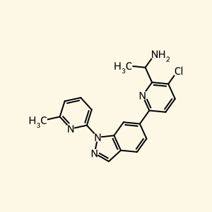 Cc1cccc(-n2ncc3ccc(-c4ccc(Cl)c(C(C)N)n4)cc32)n1